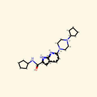 O=C(NC1CCCC1)c1cc2ccc(N3CCN(C4CCCC4)CC3)nc2[nH]1